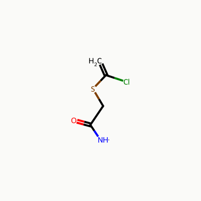 C=C(Cl)SCC([NH])=O